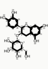 OC[C@H]1O[C@@H](O[C@@H]2Cc3c(O)cc(O)cc3O[C@@H]2c2ccc(O)c(O)c2)[C@H](O)[C@@H](O)[C@@H]1O